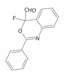 O=CC1(F)OC(c2ccccc2)=Nc2ccccc21